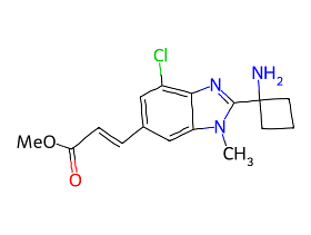 COC(=O)C=Cc1cc(Cl)c2nc(C3(N)CCC3)n(C)c2c1